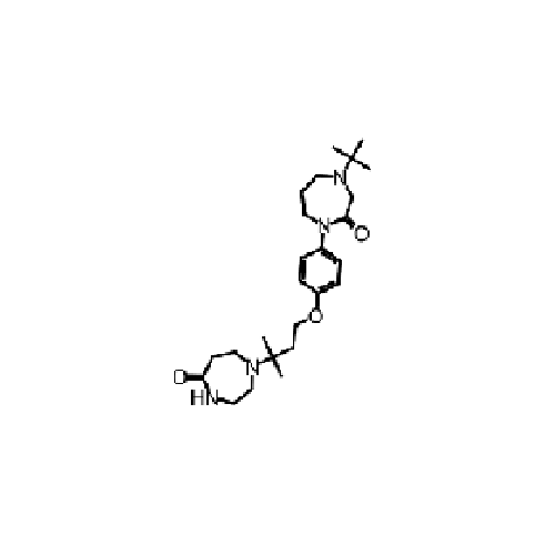 CC(C)(C)N1CCCN(c2ccc(OCCC(C)(C)N3CCNC(=O)CC3)cc2)C(=O)C1